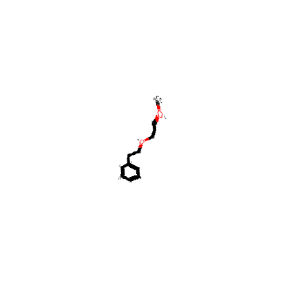 CCOCCOCCc1cc[c]cc1